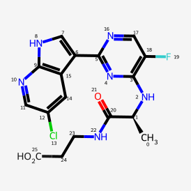 C[C@H](Nc1nc(-c2c[nH]c3ncc(Cl)cc23)ncc1F)C(=O)NCCC(=O)O